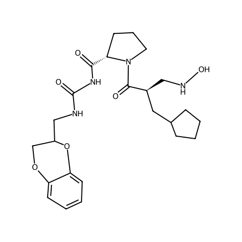 O=C(NCC1COc2ccccc2O1)NC(=O)[C@@H]1CCCN1C(=O)[C@@H](CNO)CC1CCCC1